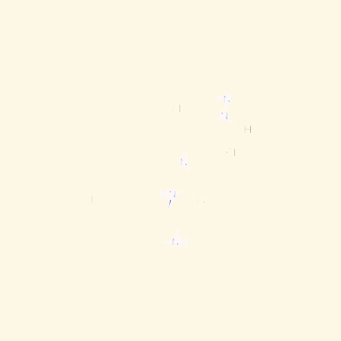 Cc1cc(C(=O)N[C@H]2CNCCC2C2CCCC(Cl)C2)ncc1-c1c(Cl)cnn1C